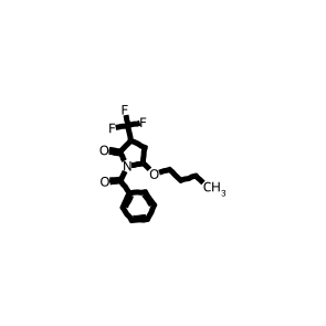 CCCCOC1CC(C(F)(F)F)C(=O)N1C(=O)c1ccccc1